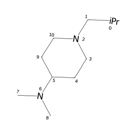 CC(C)CN1CCC(N(C)C)CC1